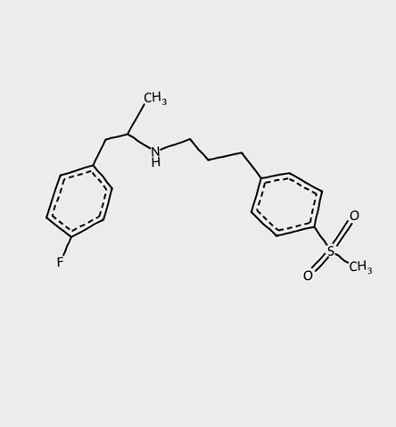 CC(Cc1ccc(F)cc1)NCCCc1ccc(S(C)(=O)=O)cc1